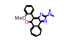 COc1ccccc1C1=C2N=C(N(C)C)N=C2C2=CCC=CC=C2C1=O